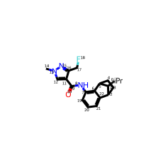 CC(C)C1C2CCC1c1c(NC(=O)c3cn(C)nc3CF)cccc12